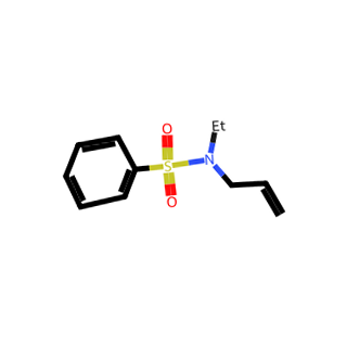 C=CCN(CC)S(=O)(=O)c1ccccc1